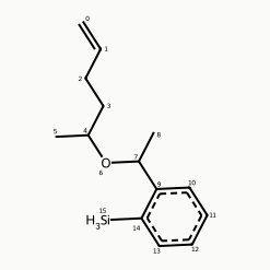 C=CCCC(C)OC(C)c1ccccc1[SiH3]